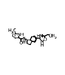 CCC1NC(c2ccc3c(c2)CC[C@H]3NC(=O)C2COC(C)N2)NO1